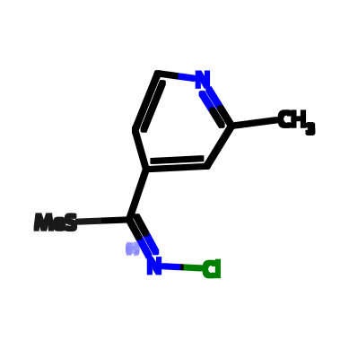 CS/C(=N/Cl)c1ccnc(C)c1